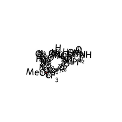 CO[C@@H](C)C1=C(c2c3c4cc(ccc4n2CC(F)(F)F)-c2cccc(c2)C[C@H](NC(=O)[C@H](C(C)C)N2CCOC4(CN(C(=O)[C@@H]5N[C@@H]5C5CC5)C4)C2)C(=O)N2CCC[C@H](N2)C(=O)OCC(C)(C)C3)CC(N2CCN3CCOC[C@@H]3C2)C=N1